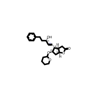 O=C1C[C@@H]2[C@@H](/C=C/[C@@H](O)CCc3ccccc3)[C@H](OC3CCCCO3)C[C@@H]2O1